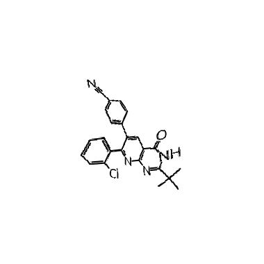 CC(C)(C)c1nc2nc(-c3ccccc3Cl)c(-c3ccc(C#N)cc3)cc2c(=O)[nH]1